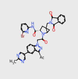 CC(=O)c1nn(CC(=O)N2C3CC3(CN3C(=O)c4ccccc4C3=O)C[C@H]2C(=O)Nc2cccc(Br)n2)c2ccc(-c3cnc(C)nc3)cc12